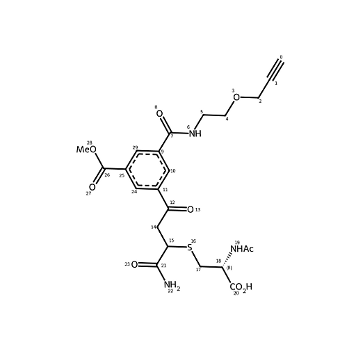 C#CCOCCNC(=O)c1cc(C(=O)CC(SC[C@H](NC(C)=O)C(=O)O)C(N)=O)cc(C(=O)OC)c1